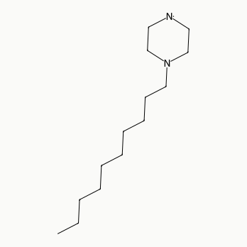 CCCCCCCCCCN1CC[N]CC1